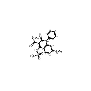 COC(=O)c1c(OS(=O)(=O)C(F)(F)F)c2cnc(SC)nc2n(-c2ccccc2)c1=O